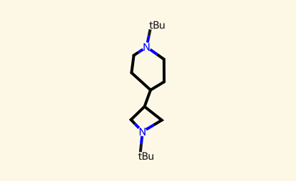 CC(C)(C)N1CCC(C2CN(C(C)(C)C)C2)CC1